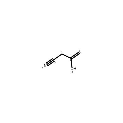 [CH]=C(O)CC#N